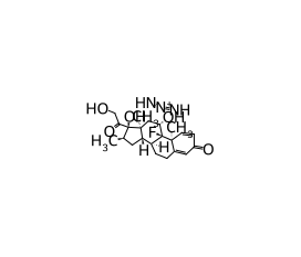 C[C@@H]1C[C@H]2[C@@H]3CCC4=CC(=O)C=C[C@]4(C)[C@@]3(F)[C@@H](O)C[C@]2(C)[C@@]1(O)C(=O)CO.N=[N+]=N